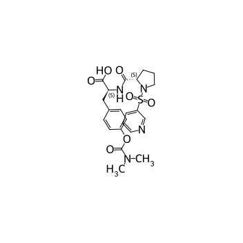 CN(C)C(=O)Oc1ccc(C[C@H](NC(=O)[C@@H]2CCCN2S(=O)(=O)c2cccnc2)C(=O)O)cc1